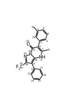 Cc1cccc(-c2c(C)[nH]c3c(-c4ccccc4)c(C(F)(F)F)nn3c2=O)c1